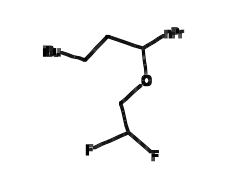 CCCC(CCC(C)CC)OCC(F)F